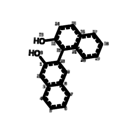 Oc1[c]c2ccccc2cc1-c1c(O)ccc2ccccc12